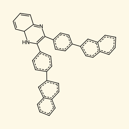 C1=CC2=NC(c3ccc(-c4ccc5ccccc5c4)cc3)=C(c3ccc(-c4ccc5ccccc5c4)cc3)NC2C=C1